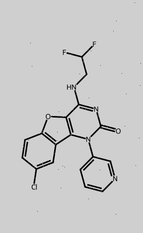 O=c1nc(NCC(F)F)c2oc3ccc(Cl)cc3c2n1-c1cccnc1